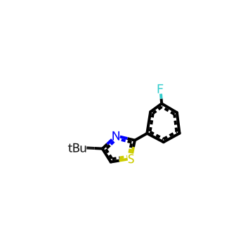 CC(C)(C)c1csc(-c2cccc(F)c2)n1